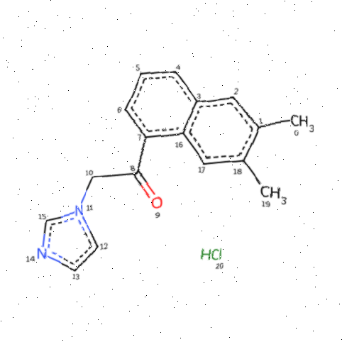 Cc1cc2cccc(C(=O)Cn3ccnc3)c2cc1C.Cl